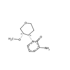 CO[C@@H]1COCC[C@@H]1n1cccc(N)c1=O